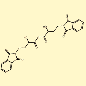 O=C(OC(=O)C(O)CCN1C(=O)c2ccccc2C1=O)C(O)CCN1C(=O)c2ccccc2C1=O